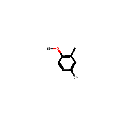 [CH2]c1cc(C#N)ccc1OCC